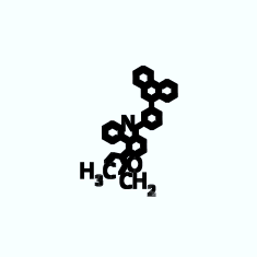 C=Cc1oc2ccc3c(-c4cccc(-c5cc6ccccc6c6ccccc56)c4)nc4ccccc4c3c2c1/C=C\C